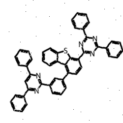 c1ccc(-c2cc(-c3ccccc3)nc(-c3cccc(-c4ccc(-c5nc(-c6ccccc6)nc(-c6ccccc6)n5)c5sc6ccccc6c45)c3)n2)cc1